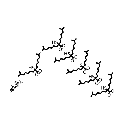 CC(C)CCCCCC(S)(CCCCCC(C)C)C(=O)[O-].CC(C)CCCCCC(S)(CCCCCC(C)C)C(=O)[O-].CC(C)CCCCCC(S)(CCCCCC(C)C)C(=O)[O-].CC(C)CCCCCC(S)(CCCCCC(C)C)C(=O)[O-].CC(C)CCCCCC(S)(CCCCCC(C)C)C(=O)[O-].CC(C)CCCCCC(S)(CCCCCC(C)C)C(=O)[O-].[CH3][Sn+2].[CH3][Sn+2].[S-2].[S-2].[S-2]